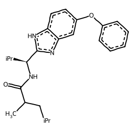 CC(C)CC(C)C(=O)N[C@H](c1nc2cc(Oc3ccccc3)ccc2[nH]1)C(C)C